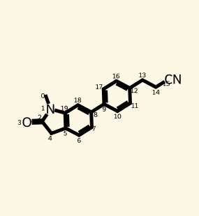 CN1C(=O)Cc2ccc(-c3ccc(CCC#N)cc3)cc21